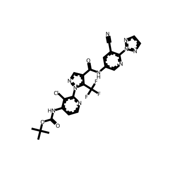 CC(C)(C)OC(=O)Nc1ccnc(-n2ncc(C(=O)Nc3cnc(-n4nccn4)c(C#N)c3)c2C(F)(F)F)c1Cl